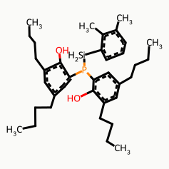 CCCCc1cc(CCCC)c(O)c(P([SiH2]c2cccc(C)c2C)c2cc(CCCC)cc(CCCC)c2O)c1